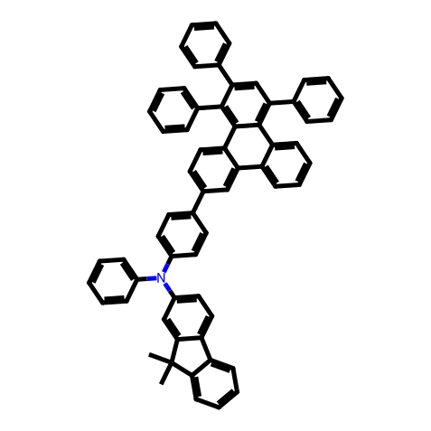 CC1(C)c2ccccc2-c2ccc(N(c3ccccc3)c3ccc(-c4ccc5c(c4)c4ccccc4c4c(-c6ccccc6)cc(-c6ccccc6)c(-c6ccccc6)c54)cc3)cc21